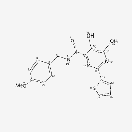 COc1ccc(CNC(=O)c2nc(-c3cccs3)nc(O)c2O)cc1